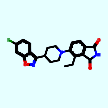 CCc1c(N2CCC(c3noc4cc(F)ccc34)CC2)ccc2c1C(=O)NC2=O